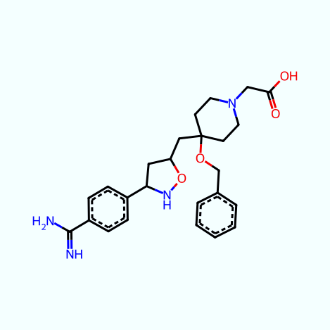 N=C(N)c1ccc(C2CC(CC3(OCc4ccccc4)CCN(CC(=O)O)CC3)ON2)cc1